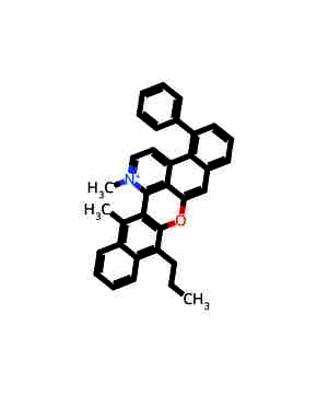 CCCc1c2c(c(C)c3ccccc13)-c1c3c(cc4cccc(-c5ccccc5)c4c3cc[n+]1C)O2